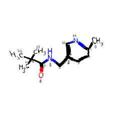 Cc1ccc(CNC(=O)C(C)(C)C)cn1